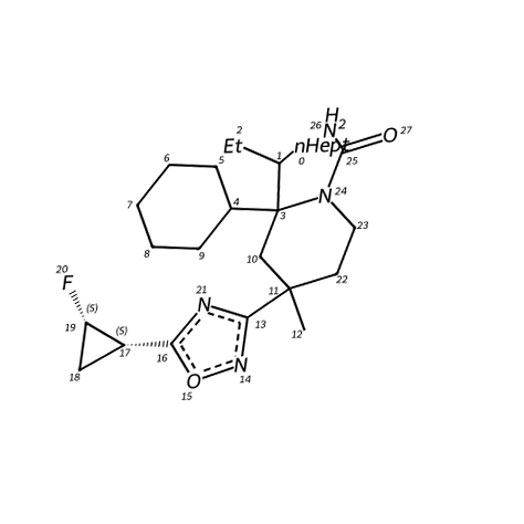 CCCCCCCC(CC)C1(C2CCCCC2)CC(C)(c2noc([C@@H]3C[C@@H]3F)n2)CCN1C(N)=O